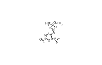 COC1(C)CN(Cc2cnc(C=O)cc2C2CC2)C1